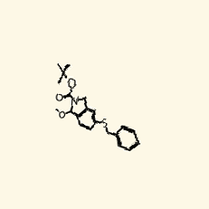 COC1c2ccc(SCc3ccccc3)cc2CN1C(=O)OC(C)(C)C